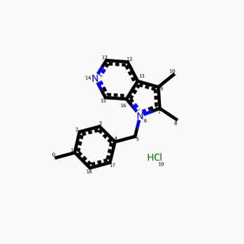 Cc1ccc(Cn2c(C)c(C)c3ccncc32)cc1.Cl